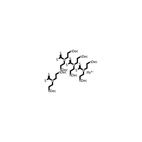 CCCCCCCCCCCCN(CCCCCCCCCCCC)C(=S)[S-].CCCCCCCCCCCCN(CCCCCCCCCCCC)C(=S)[S-].CCCCCCCCCCCCN(CCCCCCCCCCCC)C(=S)[S-].CCCCCCCCCCCCN(CCCCCCCCCCCC)C(=S)[S-].[Pb+4]